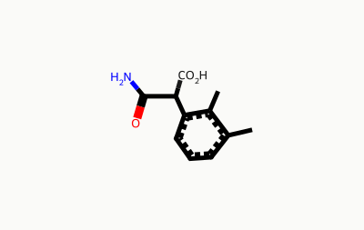 Cc1cccc(C(C(N)=O)C(=O)O)c1C